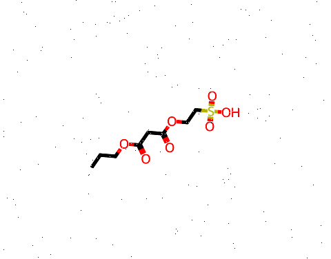 CCCOC(=O)CC(=O)OCCS(=O)(=O)O